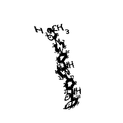 CN(C)CC(=O)N1CCN(c2ccc(Nc3nccc(-c4ccc(NC(=O)C5CCCO5)cc4)n3)cc2)CC1